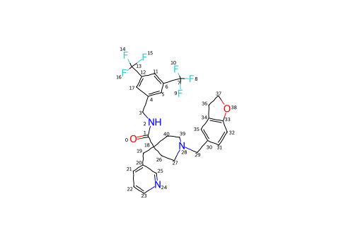 O=C(NCc1cc(C(F)(F)F)cc(C(F)(F)F)c1)C1(Cc2cccnc2)CCN(Cc2ccc3c(c2)CCO3)CC1